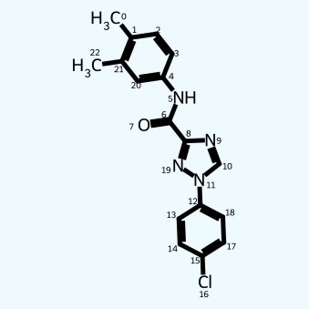 Cc1ccc(NC(=O)c2ncn(-c3ccc(Cl)cc3)n2)cc1C